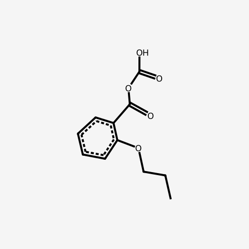 CCCOc1ccccc1C(=O)OC(=O)O